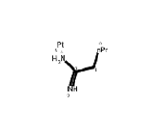 CCCCC(=N)N.[Pt]